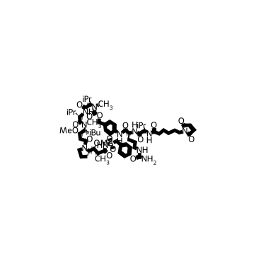 CC[C@@H](C)[C@@H]([C@@H](CC(=O)N1CCC[C@H]1[C@H](OC)[C@@H](C)C(=O)NS(=O)(=O)Cc1ccccc1)OC)N(C)C(=O)[C@@H](NC(=O)[C@H](C(C)C)N(C)C(=O)OCc1ccc(NC(=O)[C@H](CCCNC(N)=O)NC(=O)[C@@H](NC(=O)CCCCCN2C(=O)C=CC2=O)C(C)C)cc1)C(C)C